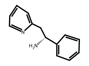 N[C@H](Cc1ccccn1)c1ccccc1